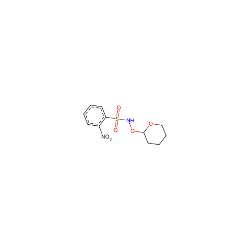 O=[N+]([O-])c1ccccc1S(=O)(=O)NOC1CCCCO1